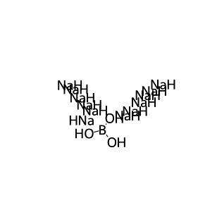 OB(O)O.[NaH].[NaH].[NaH].[NaH].[NaH].[NaH].[NaH].[NaH].[NaH].[NaH].[NaH].[NaH]